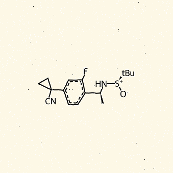 C[C@H](N[S@+]([O-])C(C)(C)C)c1ccc(C2(C#N)CC2)cc1F